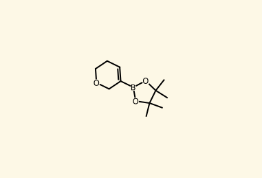 CC1(C)OB(C2=CCCOC2)OC1(C)C